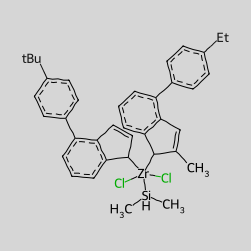 CCc1ccc(-c2cccc3c2C=C(C)[CH]3[Zr]([Cl])([Cl])([CH]2C=Cc3c(-c4ccc(C(C)(C)C)cc4)cccc32)[SiH](C)C)cc1